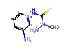 NC(=S)N(N)C=O.Nc1cccnc1